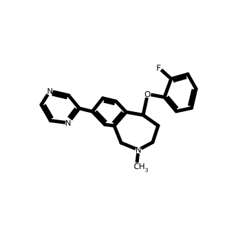 CN1CCC(Oc2ccccc2F)c2ccc(-c3cnccn3)cc2C1